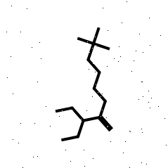 C=C(CCCCC(C)(C)C)C(CC)CC